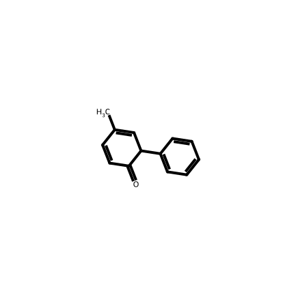 CC1=CC(c2ccccc2)C(=O)C=C1